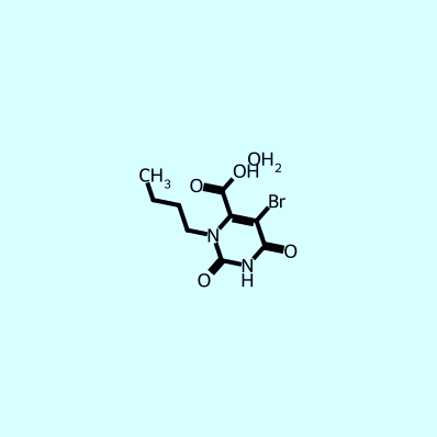 CCCCn1c(C(=O)O)c(Br)c(=O)[nH]c1=O.O